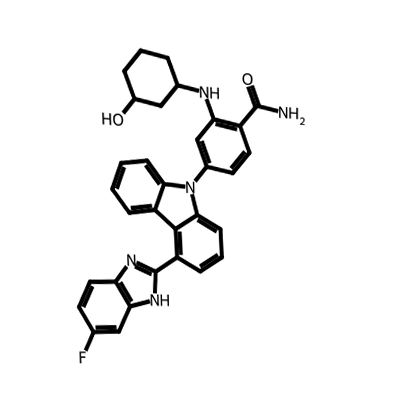 NC(=O)c1ccc(-n2c3ccccc3c3c(-c4nc5ccc(F)cc5[nH]4)cccc32)cc1NC1CCCC(O)C1